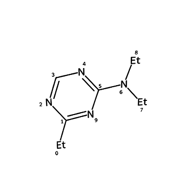 CCc1ncnc(N(CC)CC)n1